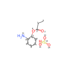 CCC(=O)Oc1ccccc1N.O=[SH](=O)O